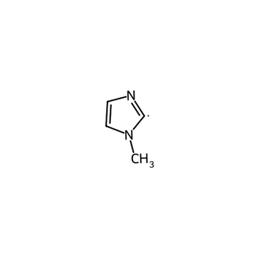 Cn1[c]ncc1